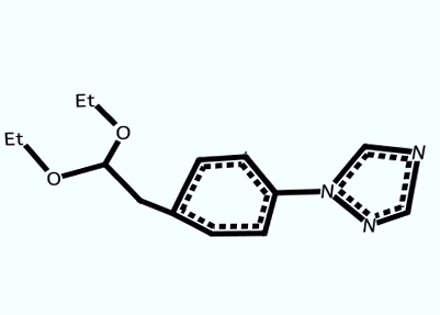 CCOC(Cc1c[c]c(-n2cncn2)cc1)OCC